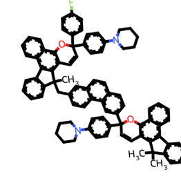 CC1(C)c2ccccc2-c2c1c1c(c3ccccc23)OC(c2ccc(N3CCCCC3)cc2)(c2ccc3ccc4cc(CC5(C)c6ccccc6-c6c5c5c(c7ccccc67)OC(c6ccc(F)cc6)(c6ccc(N7CCCCC7)cc6)C=C5)ccc4c3c2)C=C1